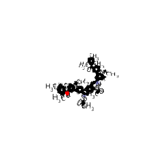 CCn1c2ccc(C(=O)c3c(C)cc(C)cc3C)cc2c2cc(/C(Cc3ccc(C/C(=N\OC(C)=O)c4ccc5c(c4)c4cc(C(=O)c6c(C)cc(C)cc6C)ccc4n5CC)cc3)=N/OC(C)=O)ccc21